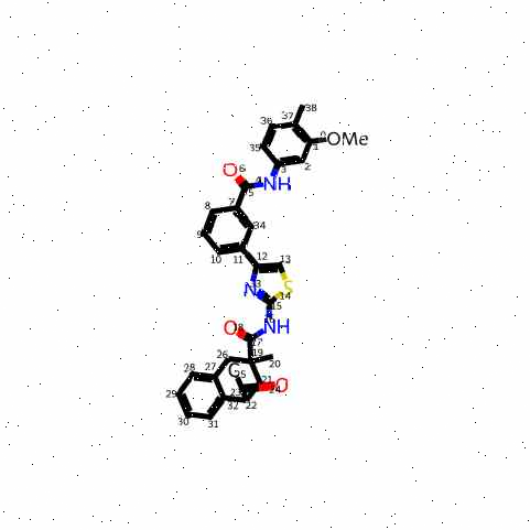 COc1cc(NC(=O)c2cccc(-c3csc(NC(=O)C4(C)CC5C(=O)CC4c4ccccc45)n3)c2)ccc1C